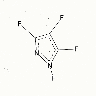 Fc1nn(F)c(F)c1F